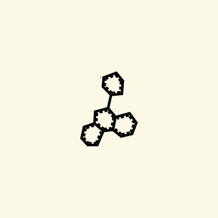 [c]1cccc(-c2cc3ccccc3c3ccccc23)c1